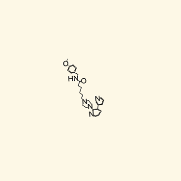 COc1ccc(CNC(=O)CCCCCN2CCN(c3ncccc3-c3cccnc3)CC2)cc1